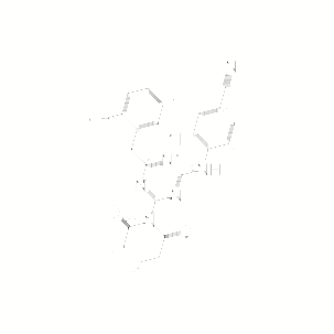 N#Cc1ccc(Nc2nc(Cc3c(Cl)cccc3Cl)nc(N3C(=O)CCCC3=O)n2)cc1